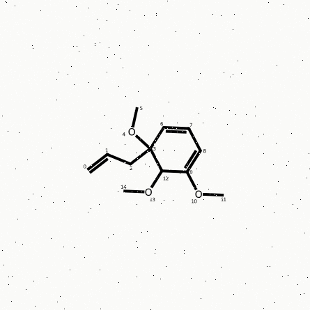 C=CCC1(OC)C=CC=C(OC)C1OC